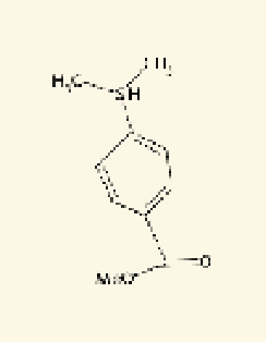 COC(=O)c1ccc([SiH](C)C)cc1